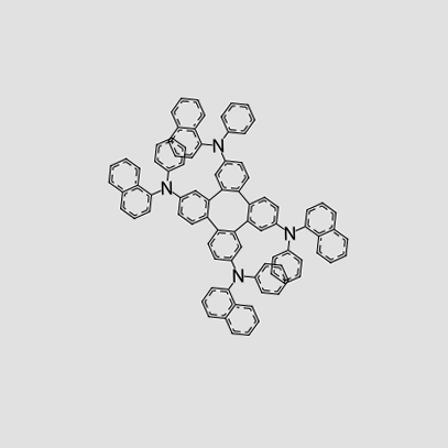 c1ccc(N(c2ccc3c(c2)-c2cc(N(c4ccccc4)c4cccc5ccccc45)ccc2-c2ccc(N(c4ccccc4)c4cccc5ccccc45)cc2-c2cc(N(c4ccccc4)c4cccc5ccccc45)ccc2-3)c2cccc3ccccc23)cc1